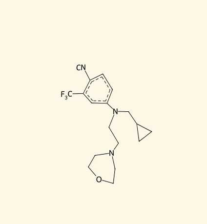 [C-]#[N+]c1ccc(N(CCN2CCOCC2)CC2CC2)cc1C(F)(F)F